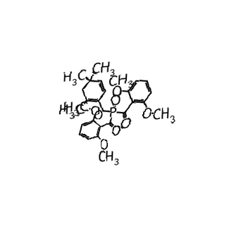 COc1cccc(OC)c1C(=O)P(=O)(C(=O)C1=C(C)CC(C)(C)C=C1)C(=O)c1c(OC)cccc1OC